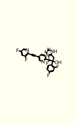 OC(Cc1nnn[nH]1)(c1ccc(F)cc1F)C(F)(F)c1ccc(C#Cc2ncc(F)cc2F)cn1